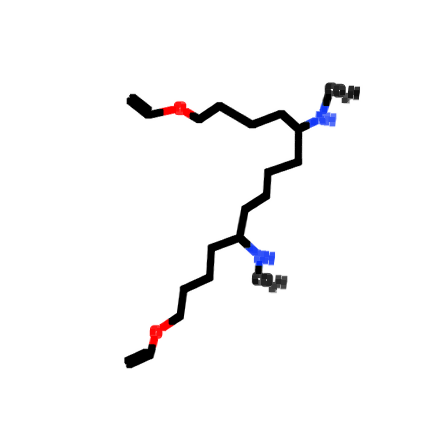 C=COCCCCC(CCCCC(CCCCOC=C)NC(=O)O)NC(=O)O